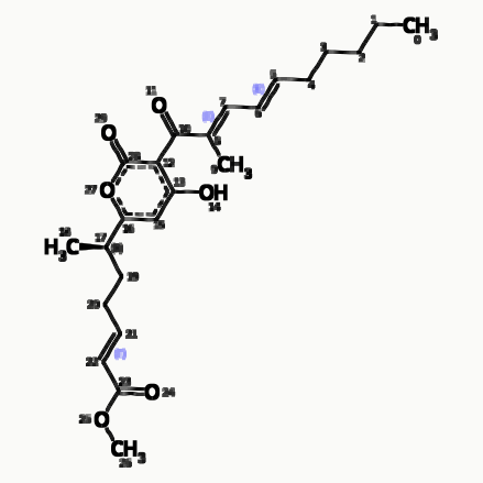 CCCCC/C=C/C=C(\C)C(=O)c1c(O)cc([C@H](C)CC/C=C/C(=O)OC)oc1=O